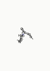 CCCCOCCOc1ccc(-c2ccc3c(c2)/C=C(/C(=O)Nc2ccc([S+]([O-])Cc4c(CC)ccnc4CC)cc2)CCCN3CC2CCOCC2)cc1